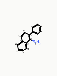 Nc1c(-c2ccccc2)ccc2ccccc12